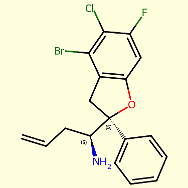 C=CC[C@H](N)[C@@]1(c2ccccc2)Cc2c(cc(F)c(Cl)c2Br)O1